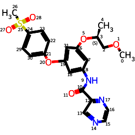 COC[C@H](C)Oc1cc(NC(=O)c2cnccn2)cc(Oc2ccc(S(C)(=O)=O)cc2)c1